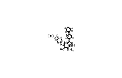 CCOC(=O)C1CCC(CC2=NC3=C(c4ccc(-c5ccccc5)nc4)CNN3C(N)=C2C(C)=O)CC1